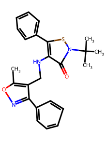 Cc1onc(-c2ccccc2)c1CNc1c(-c2ccccc2)sn(C(C)(C)C)c1=O